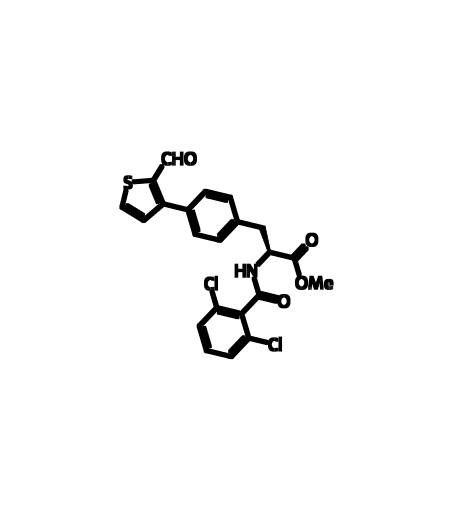 COC(=O)[C@H](Cc1ccc(-c2ccsc2C=O)cc1)NC(=O)c1c(Cl)cccc1Cl